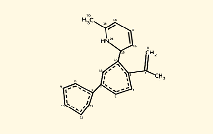 C=C(C)c1ccc(-c2ccccc2)cc1C1C=CC=C(C)N1